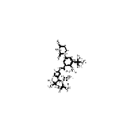 COc1c(C(=O)Nc2cc(C(N(C(=O)O)S(C)(=O)=O)C(C)(C)C)cs2)cc(N2CCC(=O)NC2=O)cc1C(C)(C)C